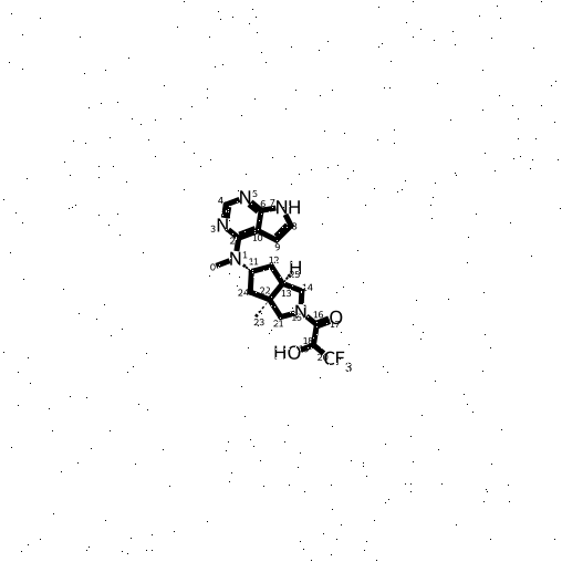 CN(c1ncnc2[nH]ccc12)[C@@H]1C[C@H]2CN(C(=O)C(O)C(F)(F)F)C[C@@]2(C)C1